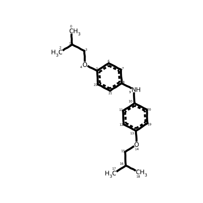 CC(C)COc1ccc(Nc2ccc(OCC(C)C)cc2)cc1